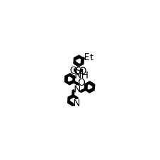 CCc1cccc(S(=O)(=O)Nc2ccccc2C(=O)N(Cc2ccccc2)Cc2cccnc2)c1